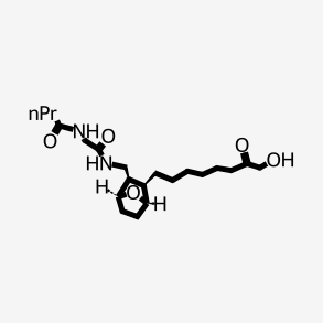 CCCC(=O)NCC(=O)NC[C@H]1[C@@H](CCCCCCC(=O)CO)[C@H]2CC[C@@H]1O2